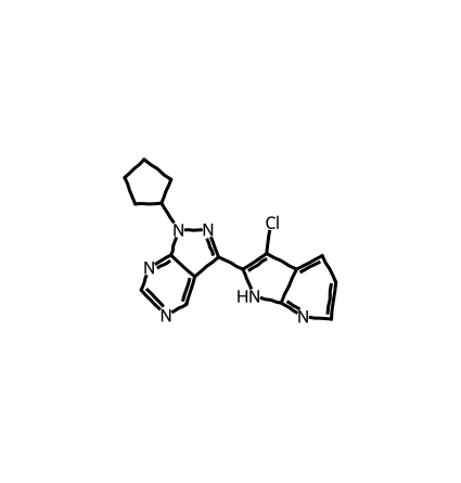 Clc1c(-c2nn(C3CCCC3)c3ncncc23)[nH]c2ncccc12